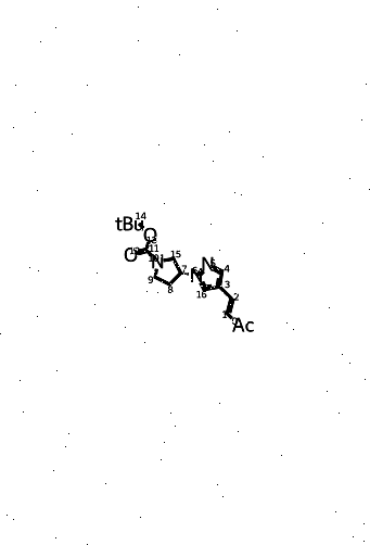 CC(=O)C=Cc1cnn([C@@H]2CCN(C(=O)OC(C)(C)C)C2)c1